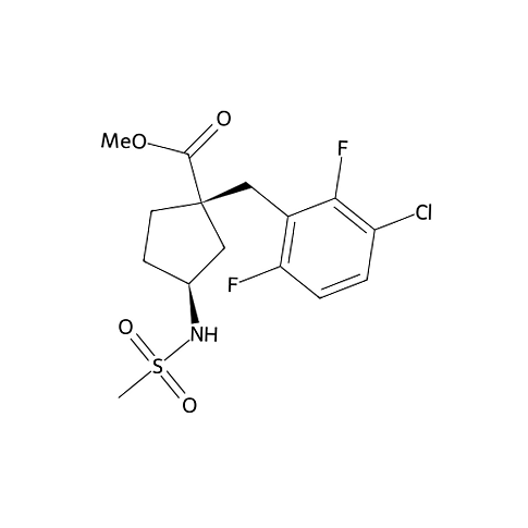 COC(=O)[C@@]1(Cc2c(F)ccc(Cl)c2F)CC[C@H](NS(C)(=O)=O)C1